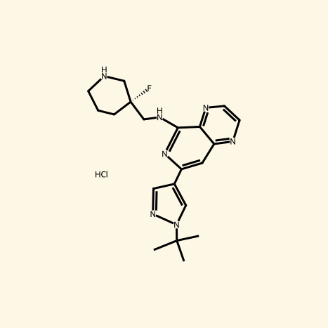 CC(C)(C)n1cc(-c2cc3nccnc3c(NC[C@@]3(F)CCCNC3)n2)cn1.Cl